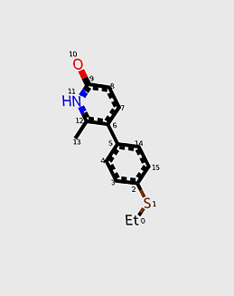 CCSc1ccc(-c2ccc(=O)[nH]c2C)cc1